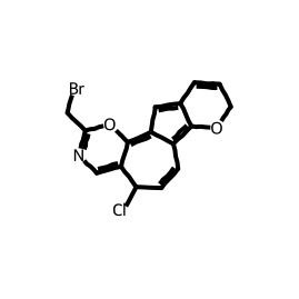 ClC1C=CC2=C3OCC=CC3=CC2=C2OC(CBr)=NC=C21